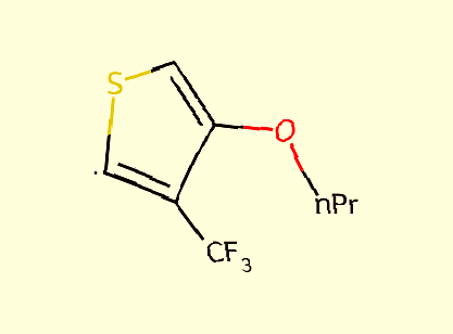 CCCOc1cs[c]c1C(F)(F)F